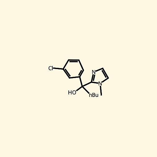 CCCCC(O)(c1cccc(Cl)c1)c1nccn1C